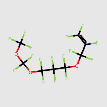 FC(F)=C(F)C(F)(F)OC(F)(F)C(F)(F)C(F)(F)OC(F)(F)OC(F)(F)F